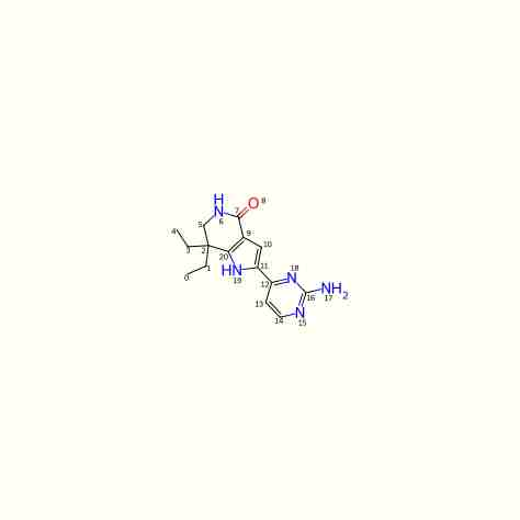 CCC1(CC)CNC(=O)c2cc(-c3ccnc(N)n3)[nH]c21